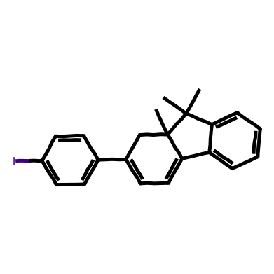 CC12CC(c3ccc(I)cc3)=CC=C1c1ccccc1C2(C)C